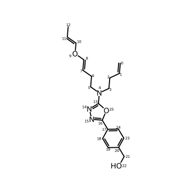 C=CCCN(CC/C=C/O/C=C/C)c1nnc(-c2ccc(CO)cc2)o1